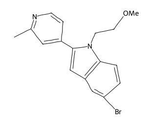 COCCn1c(-c2ccnc(C)c2)cc2cc(Br)ccc21